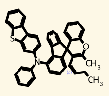 CC/C=C\C1=C(C)Oc2ccccc2C12c1ccccc1-c1c(N(c3ccccc3)c3ccc4c(c3)sc3ccccc34)cccc12